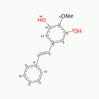 COc1c(O)cc(C=Cc2ccccc2)cc1O